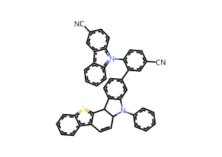 N#Cc1ccc(-n2c3ccccc3c3cc(C#N)ccc32)c(-c2ccc3c(c2)N(c2ccccc2)C2C=Cc4c(sc5ccccc45)C32)c1